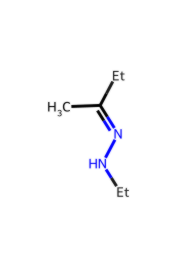 CCNN=C(C)CC